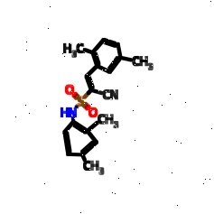 Cc1ccc(NS(=O)(=O)C(C#N)=Cc2cc(C)ccc2C)c(C)c1